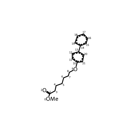 COC(=O)CCCCCCOc1ccc(-c2ccccc2)cc1